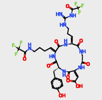 N=C(NCC/C=C1\NC(=O)/C(=C/CCCNC(=O)C(F)(F)F)NC(=O)[C@@H](Cc2ccc(O)cc2)NC(=O)/C(=C\C(=O)O)NC(=O)CNC1=O)NC(=O)C(F)(F)F